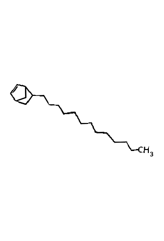 CCCCCCCCCCCCCC1CC2C=CC1C2